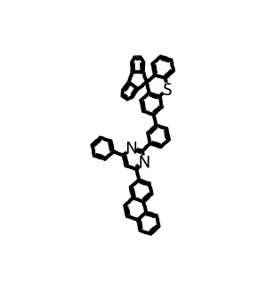 c1ccc(-c2cc(-c3ccc4c(ccc5ccccc54)c3)nc(-c3cccc(-c4ccc5c(c4)Sc4ccccc4C54c5ccccc5-c5ccccc54)c3)n2)cc1